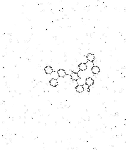 c1ccc(-c2ccccc2-c2ccc(-c3nc(-c4ccc(-c5ccccc5)c(-c5ccccc5)c4)nc(-c4cccc5oc6ccccc6c45)n3)cc2)cc1